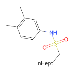 CCCCCCCCS(=O)(=O)Nc1ccc(C)c(C)c1